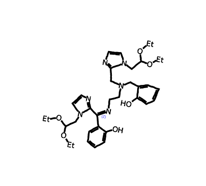 CCOC(Cn1ccnc1CN(CC/N=C(/c1ccccc1O)c1nccn1CC(OCC)OCC)Cc1ccccc1O)OCC